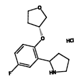 Cl.Fc1ccc(O[C@@H]2CCOC2)c(C2CCCN2)c1